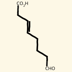 O=CCCC/C=C/CC(=O)O